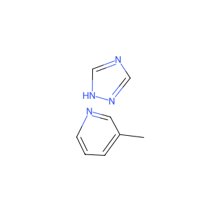 Cc1cccnc1.c1nc[nH]n1